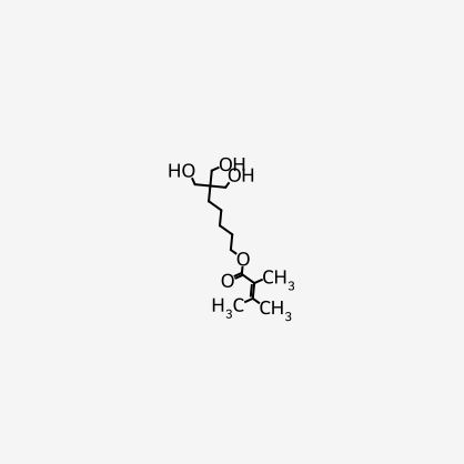 CC(C)=C(C)C(=O)OCCCCCC(CO)(CO)CO